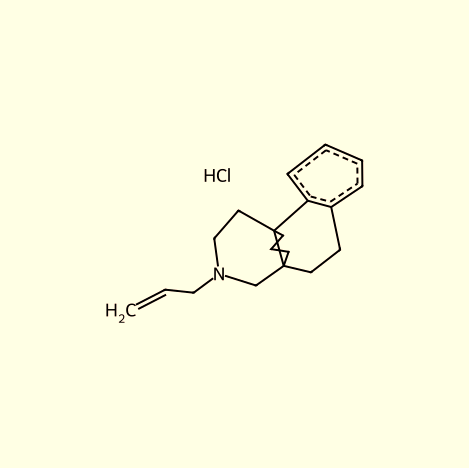 C=CCN1CCC23CCCC2(CCc2ccccc23)C1.Cl